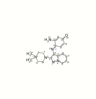 C[N+]1(C)CCN(c2nn3ccccc3c2/N=C2\C=CC(=O)C=C2N)CC1